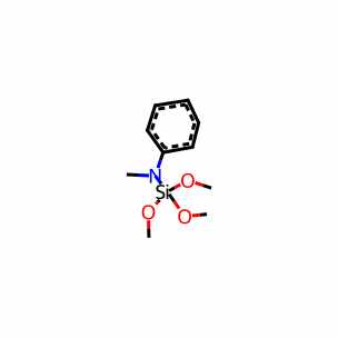 CO[Si](OC)(OC)N(C)c1ccccc1